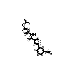 CC(C)Oc1nsc(NC(=O)c2coc(-c3cccc(C#N)c3)c2)n1